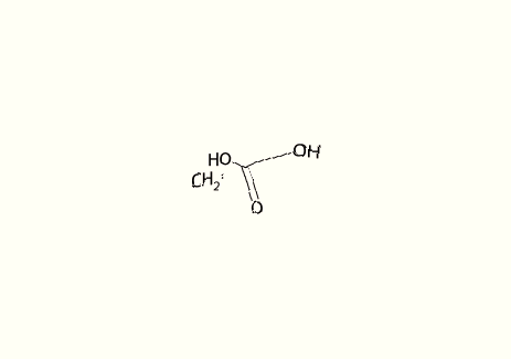 O=C(O)O.[CH2]